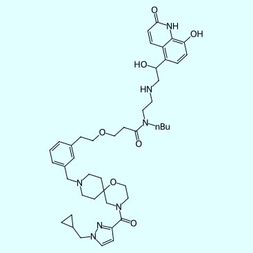 CCCCN(CCNCC(O)c1ccc(O)c2[nH]c(=O)ccc12)C(=O)CCOCCc1cccc(CN2CCC3(CC2)CN(C(=O)c2ccn(CC4CC4)n2)CCO3)c1